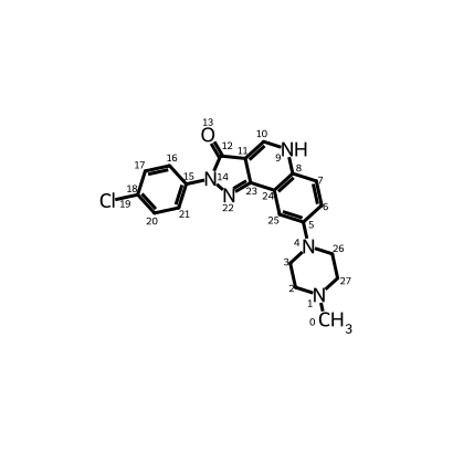 CN1CCN(c2ccc3[nH]cc4c(=O)n(-c5ccc(Cl)cc5)nc-4c3c2)CC1